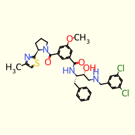 COc1cc(C(=O)N[C@@H](Cc2ccccc2)[C@H](O)CNCc2cc(Cl)cc(Cl)c2)cc(C(=O)N2CCC[C@@H]2c2nc(C)cs2)c1